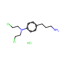 Cl.NCCCc1ccc(N(CCCl)CCCl)cc1